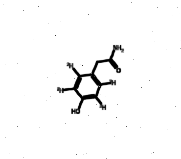 [2H]c1c([2H])c(CC(N)=O)c([2H])c([2H])c1O